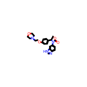 O=C1OCC(c2ccc(OCCN3CCOCC3)cc2)N1c1ccc2nc[nH]c2c1